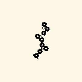 Cc1cc(C)cc(-c2ccc(-n3c4ccccc4c4cc(-c5ccc6c(c5)c5ccccc5n6-c5ccc(-c6cccc7c6oc6ccccc67)cc5)ccc43)cc2)c1